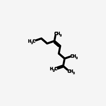 C=C(C)C(C)CC=C(C)CCC